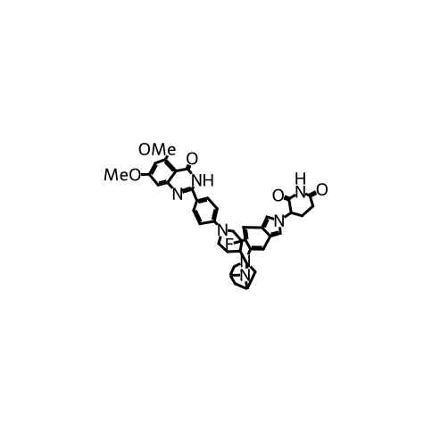 COc1cc(OC)c2c(=O)[nH]c(-c3ccc(N4CCC(CN5C6CC5CN(c5cc7cn(C8CCC(=O)NC8=O)cc7cc5F)C6)CC4)cc3)nc2c1